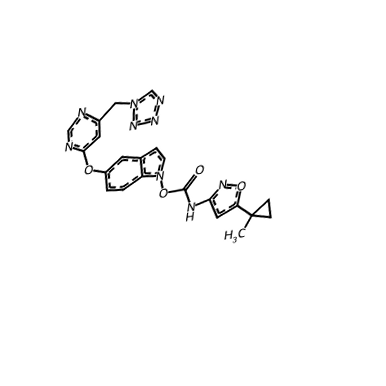 CC1(c2cc(NC(=O)On3ccc4cc(Oc5cc(Cn6cnnn6)ncn5)ccc43)no2)CC1